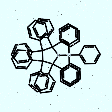 c1ccc(C2(c3ccccc3)N([Si](c3ccccc3)(c3ccccc3)c3ccccc3)C(c3ccccc3)(c3ccccc3)C(c3ccccc3)(c3ccccc3)C2(c2ccccc2)c2ccccc2)cc1